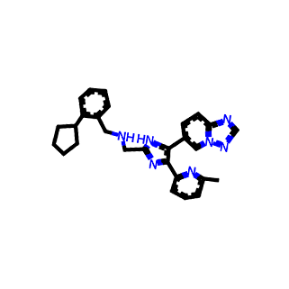 Cc1cccc(-c2nc(CNCc3ccccc3C3CCCC3)[nH]c2-c2ccc3ncnn3c2)n1